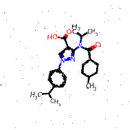 CC1CCC(C(=O)N(c2nn(-c3ccc(C(C)C)cc3)cc2C(=O)O)C(C)C)CC1